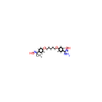 C/C(=N\O)c1ccc(OCCCCCOc2ccc(/C(N)=N\O)cc2)cc1